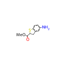 COC(=O)C1Cc2cc(N)ccc2S1